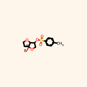 Cc1ccc(S(=O)(=O)OC2CO[C@]3(Br)CCOC23)cc1